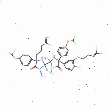 C=C(F)CCCC1(c2ccc(OC(F)F)cc2)NC(N)(C2(N)NC(c3ccc(OC(F)F)cc3)(c3ccc(F)c(OCCC=C(F)F)c3)C(=O)N2C)N(C)C1=O